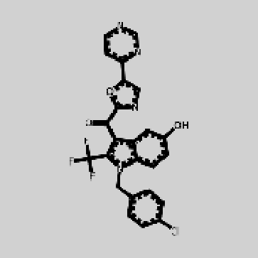 O=C(c1ncc(-c2ccncn2)o1)c1c(C(F)(F)F)n(Cc2ccc(Cl)cc2)c2ccc(O)cc12